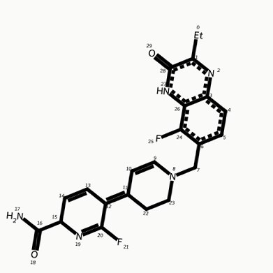 CCc1nc2ccc(CN3C=CC(=C4C=CC(C(N)=O)N=C4F)CC3)c(F)c2[nH]c1=O